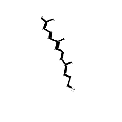 CC(=O)CC/C=C(C)/C=C/C=C(C)/C=C/C=C(C)C